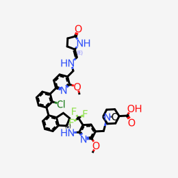 COc1nc(-c2cccc(-c3cccc4c3CC[C@@H]4Nc3nc(OC)c(CN4CC5(C(=O)O)CCC4CC5)cc3C(F)(F)F)c2Cl)ccc1CN/C=C1\CCC(=O)N1